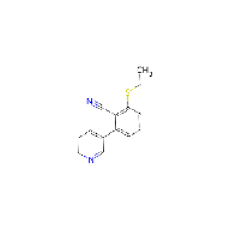 CCSc1[c]ccc(-c2cccnc2)c1C#N